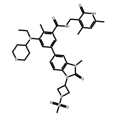 CCN(c1cc(-c2ccc3c(c2)n(C)c(=O)n3C2CN(S(C)(=O)=O)C2)cc(C(=O)NCc2c(C)cc(C)[nH]c2=O)c1C)C1CCOCC1